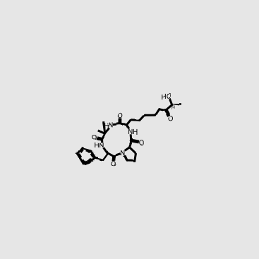 C[C@H](O)C(=O)CCCCCC1NC(=O)C2CCCN2C(=O)C(Cc2ccccc2)NC(=O)C(C)(C)NC1=O